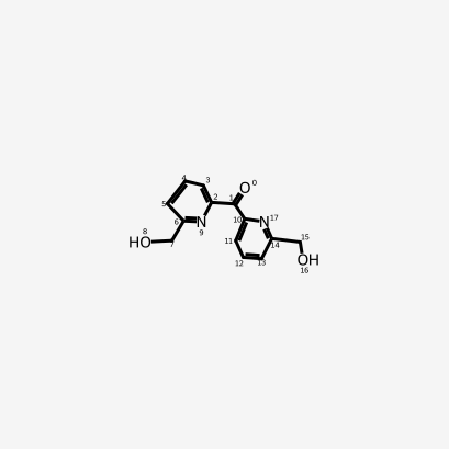 O=C(c1cccc(CO)n1)c1cccc(CO)n1